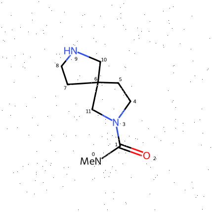 CNC(=O)N1CCC2(CCNC2)C1